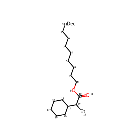 CCCCCCCCCCCCCCCCCCOC(=O)C(CC)C1CCCCC1